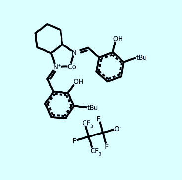 CC(C)(C)c1cccc(C=[N+]2[Co][N+](=Cc3cccc(C(C)(C)C)c3O)C3CCCCC32)c1O.[O-]C(F)(F)C(F)(C(F)(F)F)C(F)(F)F